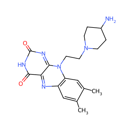 Cc1cc2nc3c(=O)[nH]c(=O)nc-3n(CCN3CCC(N)CC3)c2cc1C